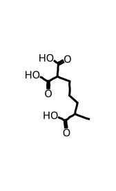 CC(CCCC(C(=O)O)C(=O)O)C(=O)O